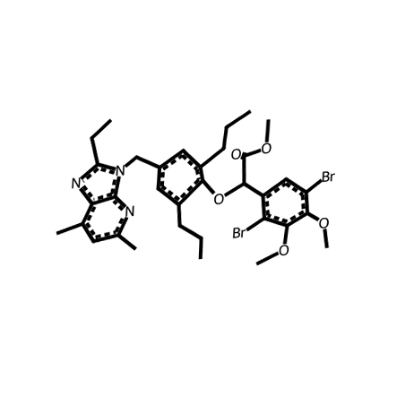 CCCc1cc(Cn2c(CC)nc3c(C)cc(C)nc32)cc(CCC)c1OC(C(=O)OC)c1cc(Br)c(OC)c(OC)c1Br